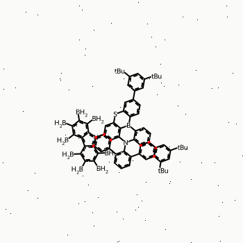 Bc1c(B)c(B)c2c(c1B)c1c(B)c(B)c(B)c(B)c1n2-c1cc2c3c(c1)N(c1c(-c4ccccc4)cccc1-c1ccccc1)c1cc(-c4cc(C(C)(C)C)cc(C(C)(C)C)c4)ccc1B3c1ccc(-c3cc(C(C)(C)C)cc(C(C)(C)C)c3)cc1S2